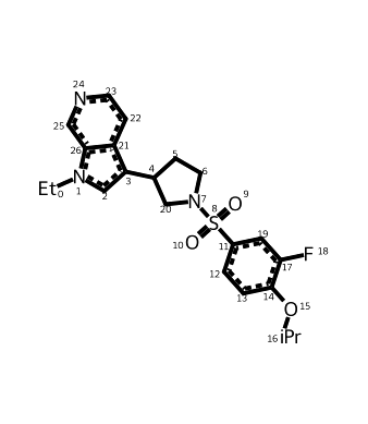 CCn1cc(C2CCN(S(=O)(=O)c3ccc(OC(C)C)c(F)c3)C2)c2ccncc21